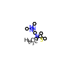 C=C/C=c1\c(=C/C)c2c3sc4ccccc4c3c3ccccc3c2n1-c1ccc(-c2nc(-c3ccccc3)nc(-c3ccccc3)n2)cc1